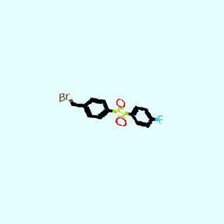 O=S(=O)(c1ccc(F)cc1)c1ccc(CBr)cc1